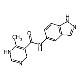 CC1=C(C(=O)Nc2ccc3[nH]ncc3c2)CN=CN1